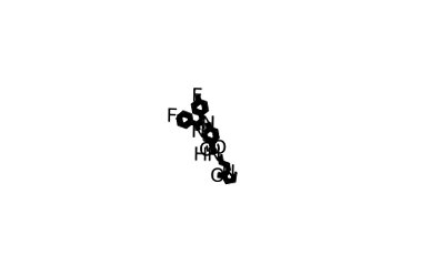 O=C1CCCN1CCCNS(=O)(=O)c1ccc2nc(-c3ccc(F)cc3)c(-c3ccc(F)cc3)nc2c1